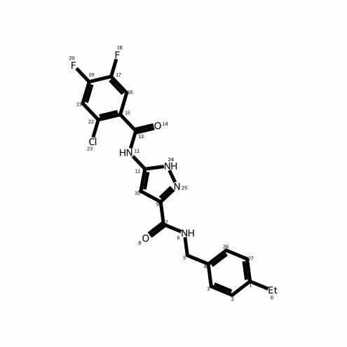 CCc1ccc(CNC(=O)c2cc(NC(=O)c3cc(F)c(F)cc3Cl)[nH]n2)cc1